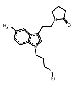 CCOCCCn1cc(CCN2CCCC2=O)c2cc(C)ccc21